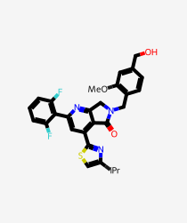 COc1cc(CO)ccc1CN1Cc2nc(-c3c(F)cccc3F)cc(-c3nc(C(C)C)cs3)c2C1=O